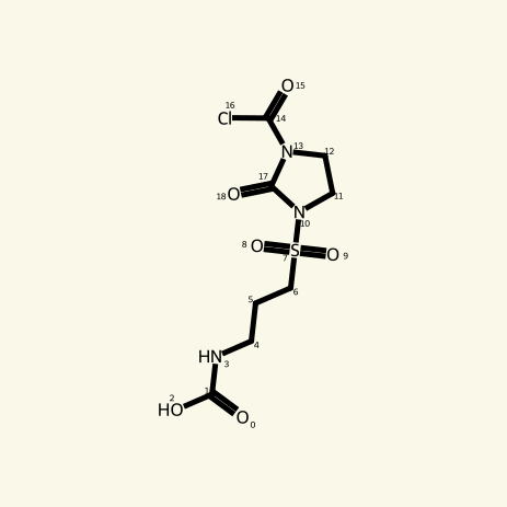 O=C(O)NCCCS(=O)(=O)N1CCN(C(=O)Cl)C1=O